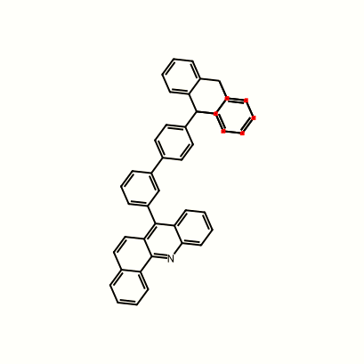 c1cc(-c2ccc(C34c5ccccc5C(c5ccccc53)c3ccccc34)cc2)cc(-c2c3ccccc3nc3c2ccc2ccccc23)c1